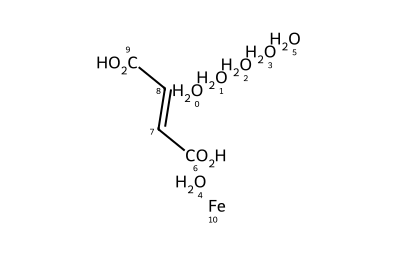 O.O.O.O.O.O.O=C(O)C=CC(=O)O.[Fe]